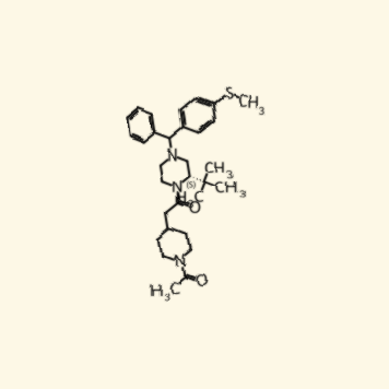 CSc1ccc(C(c2ccccc2)N2CCN(C(=O)CC3CCN(C(C)=O)CC3)[C@@H](C(C)(C)C)C2)cc1